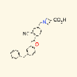 N#Cc1cc(CN2CC(C(=O)O)C2)ccc1-c1cc2cc(Cc3ccccc3)ccc2o1